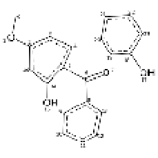 COc1ccc(C(=O)c2ccccc2)c(O)c1.Oc1ccccc1